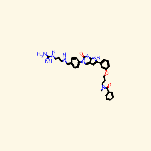 CN(CCCOc1cccc(-c2cc3cn(-c4ccc(CNCCCNC(=N)N)cc4)c(=O)nc3[nH]2)c1)C(=O)c1ccccc1